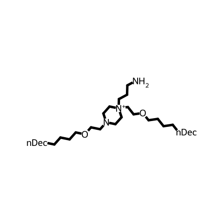 CCCCCCCCCCCCCCOCCN1CC[N+](CCCN)(CCOCCCCCCCCCCCCCC)CC1